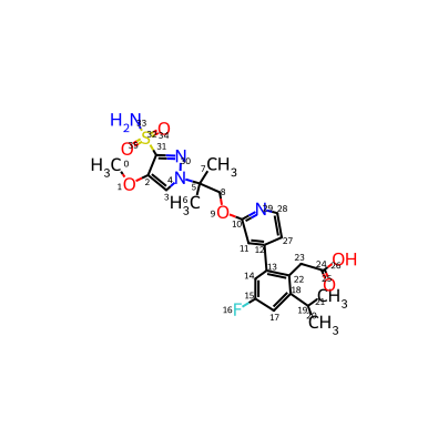 COc1cn(C(C)(C)COc2cc(-c3cc(F)cc(C(C)C)c3CC(=O)O)ccn2)nc1S(N)(=O)=O